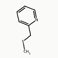 CSCc1ccccn1